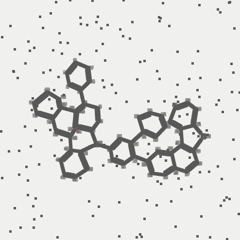 c1ccc(-c2ccc(N(c3ccc(-c4ccc5ccc6oc7ccccc7c6c5c4)c(-c4ccccc4)c3)c3ccccc3-c3ccc4ccccc4c3)cc2)cc1